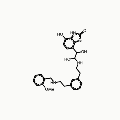 COc1ccccc1CNCCc1cccc(CCNC(O)C(O)c2ccc(O)c3[nH]c(=O)sc23)c1